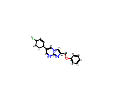 FC1C=CC(c2cnc3nc(COc4ccccc4)cn3c2)CC1